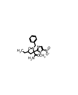 CCC1CC(C(N)=O)(c2ncc([N+](=O)[O-])n2C)N(Cc2ccccc2)O1